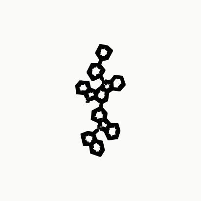 C1=Cc2c(n(-c3cccc(-c4ccccc4)c3)c3c2cc(-c2ccc4c(c2)c2ccccc2n4-c2cccc4ccccc24)c2sc4ccccc4c23)CC1